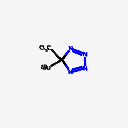 CC(C)(C)C1(C(Cl)(Cl)Cl)N=NN=N1